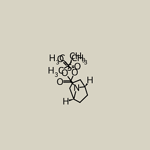 CC(C)(C)OC(=O)N1[C@@H]2CC[C@H]1CC(OS(C)(=O)=O)C2